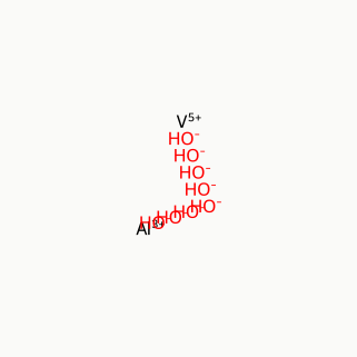 [Al+3].[OH-].[OH-].[OH-].[OH-].[OH-].[OH-].[OH-].[OH-].[V+5]